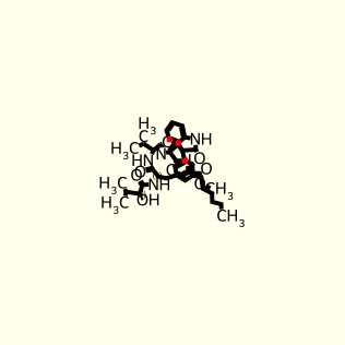 CCCCCCc1cc2cc3c1OC1Nc4ccccc4C31c1oc(nc1-c1nc(C(=O)OC)co1)C(C(C)C)NC(=O)[C@@H](NC(=O)[C@@H](O)C(C)C)C2